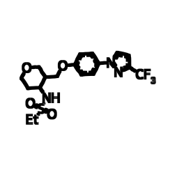 CCS(=O)(=O)NC1CCOCC1COc1ccc(-n2ccc(C(F)(F)F)n2)cc1